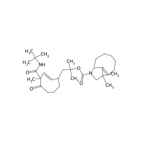 CC(C)(C)NC(=O)C1(C)/C=C/C(CC(C)(C)OC(=O)N2CC(C)(C)/C3=C\CCCCCC32)CCCC1=O